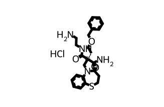 Cl.NCCNC(=O)[C@](CCOCc1ccccc1)(CN1C(=O)CCSc2ccccc21)C(N)=O